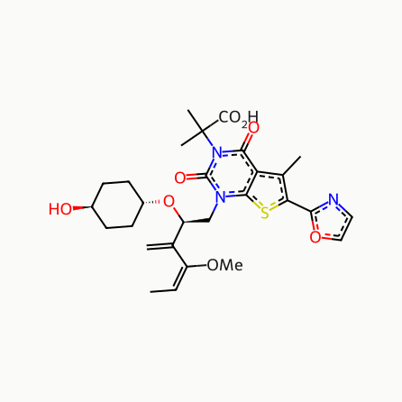 C=C(/C(=C\C)OC)[C@H](Cn1c(=O)n(C(C)(C)C(=O)O)c(=O)c2c(C)c(-c3ncco3)sc21)O[C@H]1CC[C@H](O)CC1